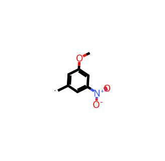 [CH2]c1cc(OC)cc([N+](=O)[O-])c1